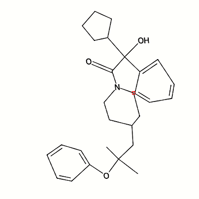 CC(C)(CC1CCN(C(=O)C(O)(c2ccccc2)C2CCCC2)CC1)Oc1ccccc1